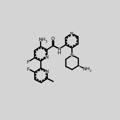 Cc1ccc(F)c(-c2nc(C(=O)Nc3cnccc3N3CCC[C@H](N)C3)c(N)cc2F)n1